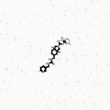 CC(C)(C)OC(=O)N1C[C@H]2CCC(CNC(=O)NCc3cccnc3)C[C@H]2C1